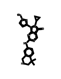 CC1(C)CNCc2cc(Nc3ncc4c(=O)n(C5CC5)n(-c5ccn(C(C)(C)C)n5)c4n3)ccc21